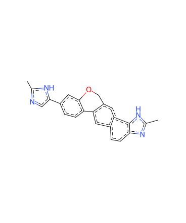 Cc1ncc(-c2ccc3c(c2)OCc2cc4c(ccc5nc(C)[nH]c54)cc2-3)[nH]1